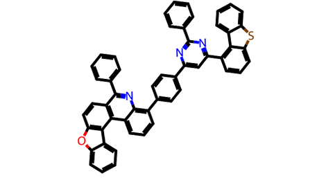 c1ccc(-c2nc(-c3ccc(-c4cccc5c4nc(-c4ccccc4)c4ccc6oc7ccccc7c6c45)cc3)cc(-c3cccc4sc5ccccc5c34)n2)cc1